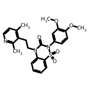 COc1ccc(N2C(=O)N(CCc3c(C)ccnc3C)c3ccccc3S2(=O)=O)cc1OC